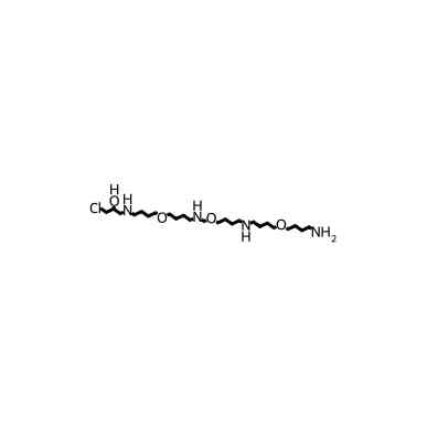 NCCCCOCCCCNCCCCOCNCCCCOCCCCNCC(O)CCl